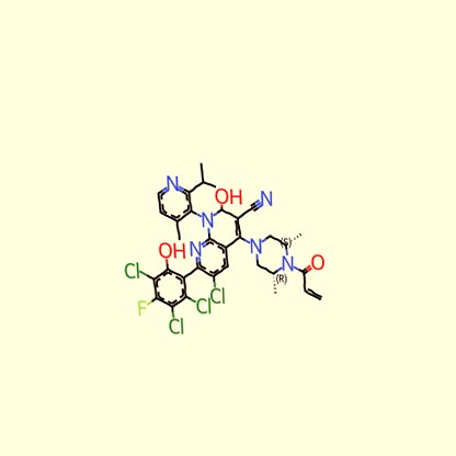 C=CC(=O)N1[C@H](C)CN(C2=C(C#N)C(O)N(c3c(C)ccnc3C(C)C)c3nc(-c4c(O)c(Cl)c(F)c(Cl)c4Cl)c(Cl)cc32)C[C@@H]1C